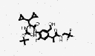 CC(C(=O)NCC(F)(F)F)c1cc(F)c(NC(=O)[C@@H](NC(=O)OC(C)(C)C)C(C2CC2)C2CC2)cc1CO